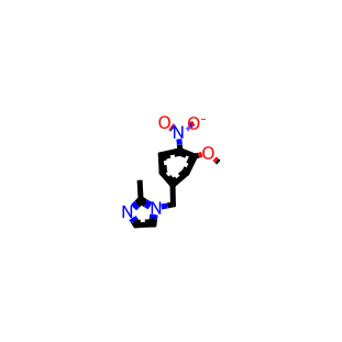 COc1cc(Cn2ccnc2C)ccc1[N+](=O)[O-]